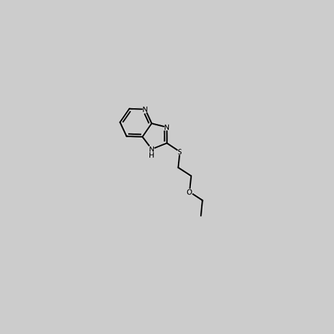 CCOCCSc1nc2ncccc2[nH]1